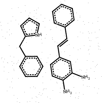 Nc1ccc(C=Cc2ccccc2)cc1N.c1ccc(Cc2ccc[nH]2)cc1